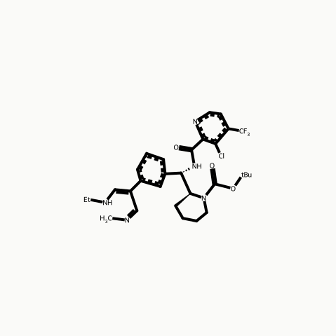 CCN/C=C(\C=N/C)c1cccc([C@H](NC(=O)c2nccc(C(F)(F)F)c2Cl)[C@@H]2CCCCN2C(=O)OC(C)(C)C)c1